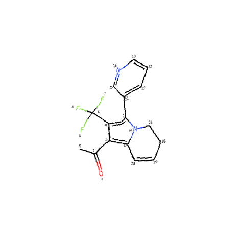 CC(=O)c1c(C(F)(F)F)c(-c2cccnc2)n2c1C=CCC2